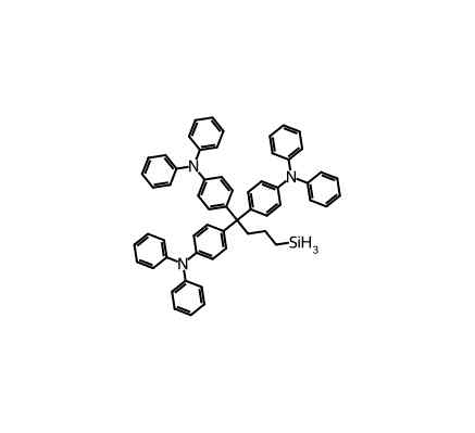 [SiH3]CCCC(c1ccc(N(c2ccccc2)c2ccccc2)cc1)(c1ccc(N(c2ccccc2)c2ccccc2)cc1)c1ccc(N(c2ccccc2)c2ccccc2)cc1